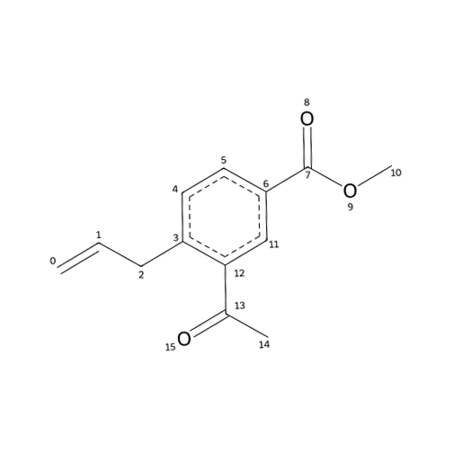 C=CCc1ccc(C(=O)OC)cc1C(C)=O